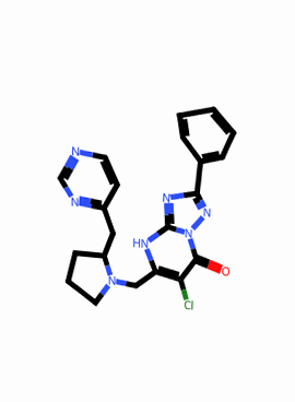 O=c1c(Cl)c(CN2CCCC2Cc2ccncn2)[nH]c2nc(-c3ccccc3)nn12